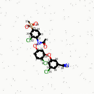 CC(=O)N(Oc1ccc(Cl)c(Oc2cc(Cl)cc(C#N)c2)c1)c1ccc(S(C)(=O)=O)cc1Cl